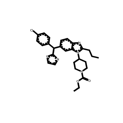 CCCc1nc2ccc(C(c3ccc(Cl)cc3)c3nccs3)cc2n1C1CCN(C(=O)OCC)CC1